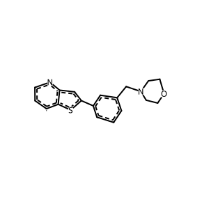 [c]1ccnc2cc(-c3cccc(CN4CCOCC4)c3)sc12